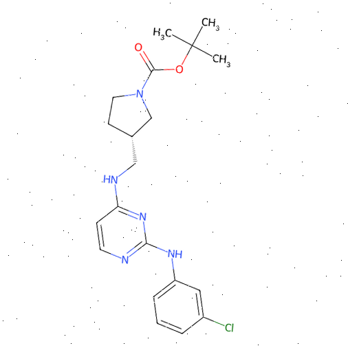 CC(C)(C)OC(=O)N1CC[C@@H](CNc2ccnc(Nc3cccc(Cl)c3)n2)C1